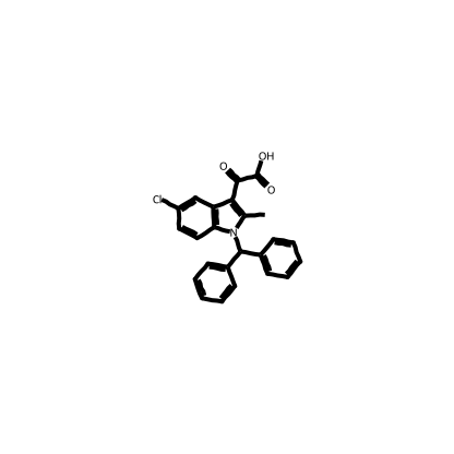 Cc1c(C(=O)C(=O)O)c2cc(Cl)ccc2n1C(c1ccccc1)c1ccccc1